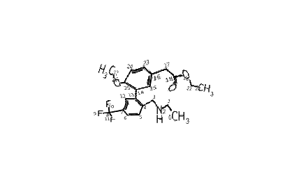 CCNCc1ccc(C(F)(F)F)cc1-c1cc(CC(=O)OCC)ccc1OC